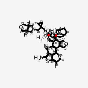 C[C@@H](O)CN1CC2CCC(C1)N2c1nc(OCC2(CN3C[C@H]4COC[C@H]4C3)CC2)nc2c(F)c(-c3ncc(F)c4sc(N)c(C#N)c34)c3c(c12)COC3